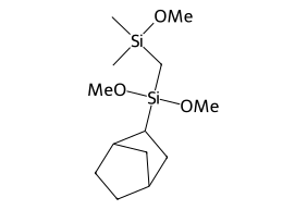 CO[Si](C)(C)C[Si](OC)(OC)C1CC2CCC1C2